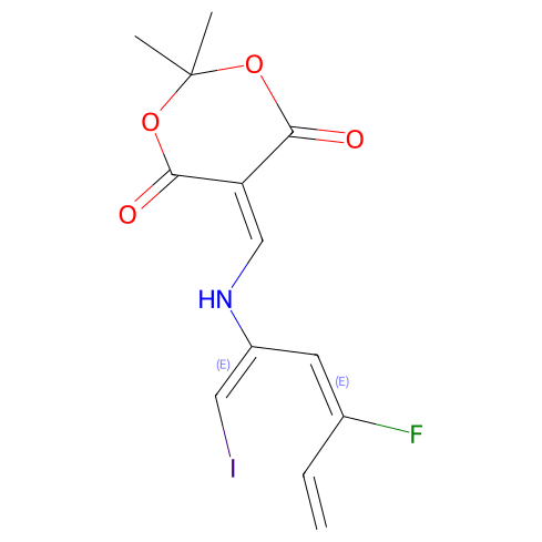 C=C/C(F)=C\C(=C/I)NC=C1C(=O)OC(C)(C)OC1=O